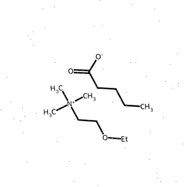 CCCCC(=O)[O-].CCOCC[N+](C)(C)C